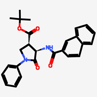 CC(C)(C)OC(=O)[C@H]1CN(c2ccccc2)C(=O)[C@H]1NC(=O)c1ccc2ccccc2c1